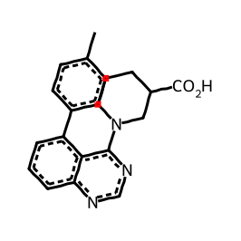 Cc1ccc(-c2cccc3ncnc(N4CCCC(C(=O)O)C4)c23)cc1